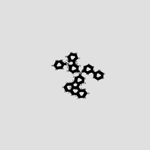 c1ccc(-c2cccc(N(c3ccc4c(c3)-c3cccc5cc6ccccc6c-4c35)c3ccc4c(c3)c3ccccc3n4-c3ccccc3)c2)cc1